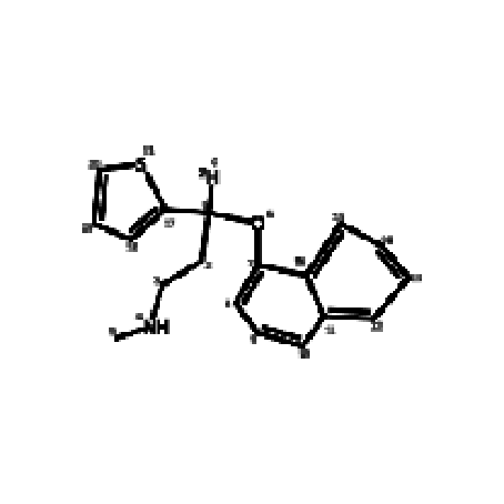 [2H]C(CCNC)(Oc1cccc2ccccc12)c1cccs1